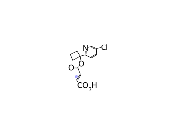 O=C(O)/C=C/C(=O)OC1(c2ccc(Cl)cn2)CCC1